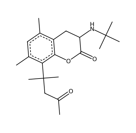 CC(=O)CC(C)(C)c1c(C)cc(C)c2c1OC(=O)C(NC(C)(C)C)C2